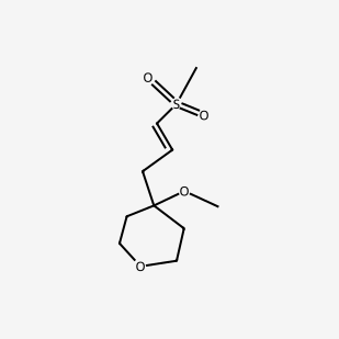 COC1(C/C=C/S(C)(=O)=O)CCOCC1